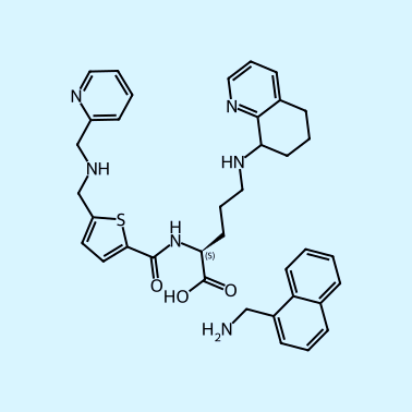 NCc1cccc2ccccc12.O=C(N[C@@H](CCCNC1CCCc2cccnc21)C(=O)O)c1ccc(CNCc2ccccn2)s1